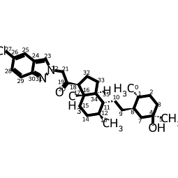 C[C@@H]1CC[C@@](C)(O)C[C@H]1CC[C@@H]1[C@@H](C)CC[C@]2(C)[C@@H](C(=O)Cn3cc4cc(Cl)ccc4n3)CC[C@@H]12